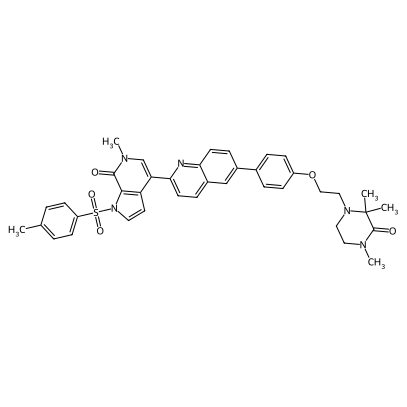 Cc1ccc(S(=O)(=O)n2ccc3c(-c4ccc5cc(-c6ccc(OCCN7CCN(C)C(=O)C7(C)C)cc6)ccc5n4)cn(C)c(=O)c32)cc1